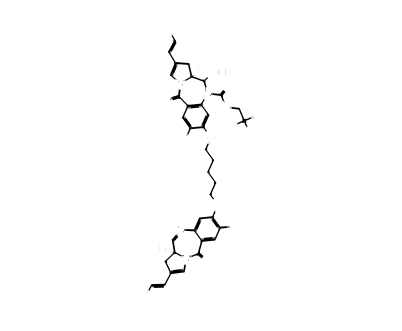 C/C=C/C1=CN2C(=O)c3cc(OC)c(OCCCCCOc4cc5c(cc4C)C(=O)N4C=C(/C=C/C)C[C@H]4C(O)N5C(=O)OCC(C)(C)SC)cc3N=C[C@@H]2C1